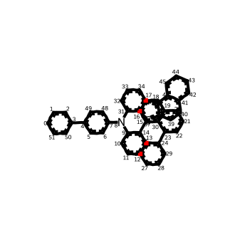 c1ccc(-c2ccc(N(c3ccccc3-c3cccc4cccc(-c5ccccc5)c34)c3cccc4c3sc3ccc5ccccc5c34)cc2)cc1